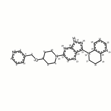 c1cncc(COC2CCN(c3cnc4c(N5CCCc6ncccc65)n[nH]c4n3)CC2)c1